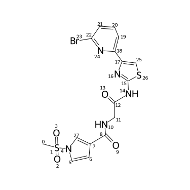 CS(=O)(=O)n1ccc(C(=O)NCC(=O)Nc2nc(-c3cccc(Br)n3)cs2)c1